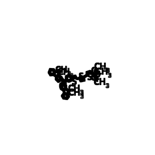 CCO[Si](OC)(OCC)c1ccc(-c2ccc(C3Cc4ccc(N(c5ccc6c(c5)C(C)(C)c5ccccc5-6)c5ccc6c(c5)C(C)(C)c5ccccc5-6)cc4S3)s2)s1